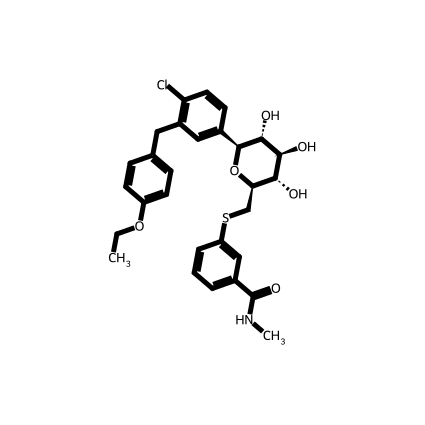 CCOc1ccc(Cc2cc([C@@H]3O[C@H](CSc4cccc(C(=O)NC)c4)[C@@H](O)[C@H](O)[C@H]3O)ccc2Cl)cc1